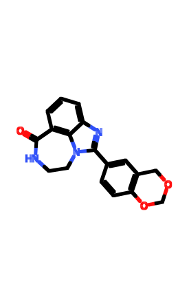 O=C1NCCn2c(-c3ccc4c(c3)COCO4)nc3cccc1c32